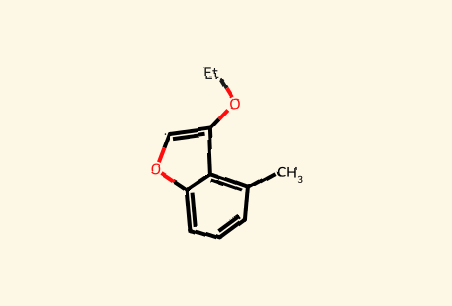 CCOc1[c]oc2cccc(C)c12